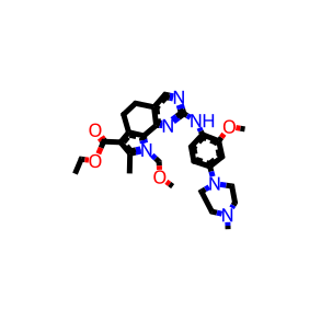 CCOC(=O)c1c2c(n(COC)c1C)-c1nc(Nc3ccc(N4CCN(C)CC4)cc3OC)ncc1CC2